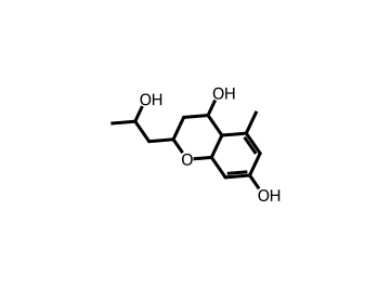 CC1=CC(O)=CC2OC(CC(C)O)CC(O)C12